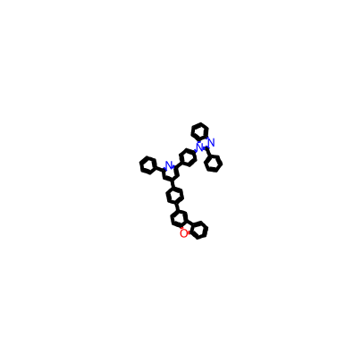 c1ccc(-c2cc(-c3ccc(-c4ccc5oc6ccccc6c5c4)cc3)cc(-c3ccc(-n4c(-c5ccccc5)nc5ccccc54)cc3)n2)cc1